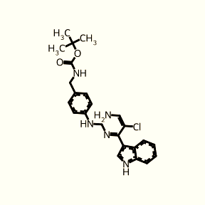 CC(C)(C)OC(=O)NCc1ccc(NC/N=C(\C(Cl)=C/N)c2c[nH]c3ccccc23)cc1